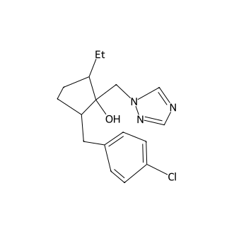 CCC1CCC(Cc2ccc(Cl)cc2)C1(O)Cn1cncn1